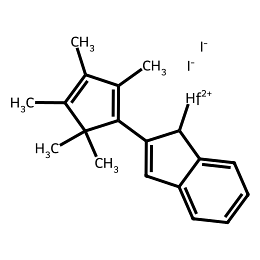 CC1=C(C)C(C)(C)C(C2=Cc3ccccc3[CH]2[Hf+2])=C1C.[I-].[I-]